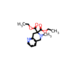 CCOC(=O)C1(C(=O)OCC)Cc2ncccc2CN1C